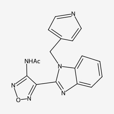 CC(=O)Nc1nonc1-c1nc2ccccc2n1Cc1ccncc1